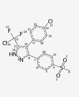 CS(=O)(=O)c1ccc(-c2n[nH]c(C(F)(F)Cl)c2-c2ccc(Cl)cc2)cc1